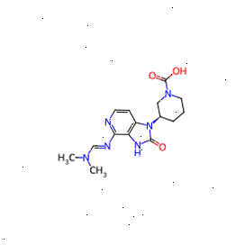 CN(C)C=Nc1nccc2c1[nH]c(=O)n2[C@@H]1CCCN(C(=O)O)C1